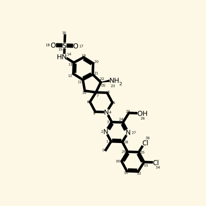 Cc1nc(N2CCC3(CC2)Cc2cc(NS(C)(=O)=O)ccc2[C@H]3N)c(CO)nc1-c1cccc(Cl)c1Cl